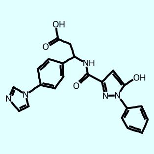 O=C(O)CC(NC(=O)c1cc(O)n(-c2ccccc2)n1)c1ccc(-n2ccnc2)cc1